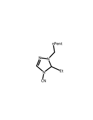 CCCCCCN1N=CN(C#N)C1CC